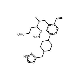 C=Cc1ccc(C2CCN(Cc3cc[nH]n3)CC2)cc1CN(C)C(CCC=O)ONC